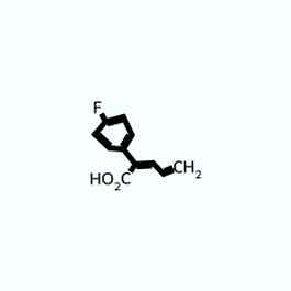 C=CC=C(C(=O)O)c1ccc(F)cc1